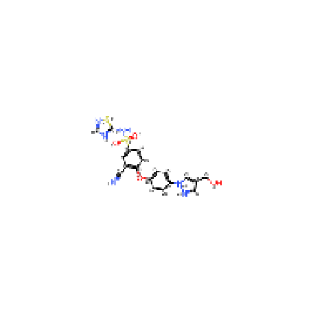 N#Cc1cc(S(=O)(=O)Nc2ncns2)ccc1Oc1ccc(-n2cc(CO)cn2)cc1